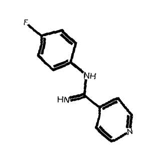 N=C(Nc1ccc(F)cc1)c1ccncc1